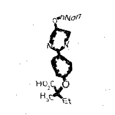 CCCCCCCCCOc1cnc(-c2ccc(OC(C)(CC)C(=O)O)cc2)nc1